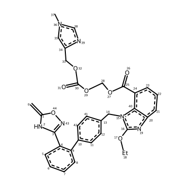 C=C1NC(c2ccccc2-c2ccc(Cn3c(OCC)nc4cccc(C(=O)OCOC(=O)OCc5cn(C)cn5)c43)cc2)=NO1